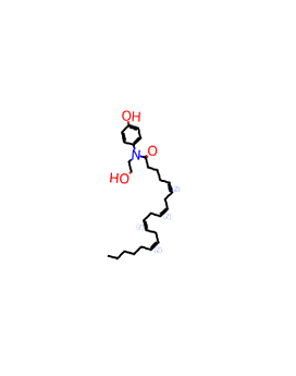 CCCCC/C=C\C/C=C\C/C=C\C/C=C\CCCC(=O)N(CCO)c1ccc(O)cc1